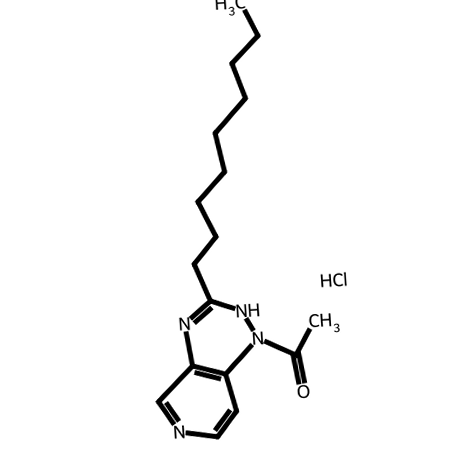 CCCCCCCCCC1=Nc2cnccc2N(C(C)=O)N1.Cl